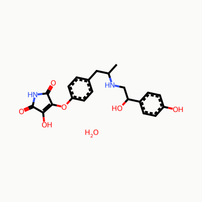 CC(Cc1ccc(OC2=C(O)C(=O)NC2=O)cc1)NCC(O)c1ccc(O)cc1.O